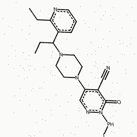 CCc1ncccc1C(CC)N1CCN(c2cnn(PI)c(=O)c2C#N)CC1